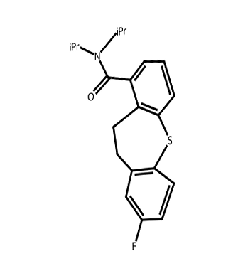 CC(C)N(C(=O)c1cccc2c1CCc1cc(F)ccc1S2)C(C)C